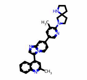 Cc1cc(-c2cnc3cc(-c4cnc(N5CCC6(CCCN6)C5)c(C)c4)ccn23)c2ccccc2n1